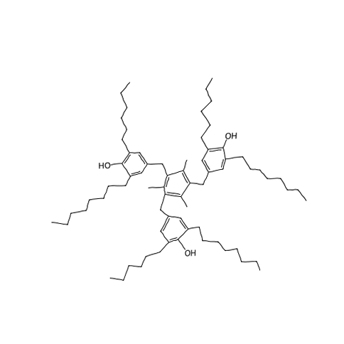 CCCCCCCCc1cc(Cc2c(C)c(Cc3cc(CCCCCC)c(O)c(CCCCCCCC)c3)c(C)c(Cc3cc(CCCCCC)c(O)c(CCCCCCCC)c3)c2C)cc(CCCCCC)c1O